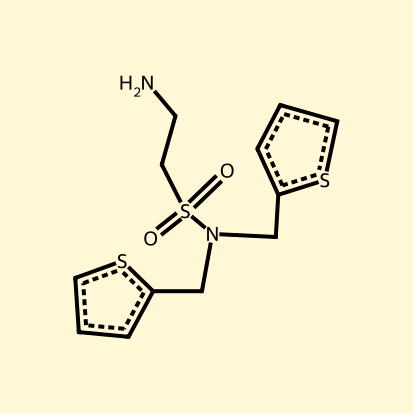 NCCS(=O)(=O)N(Cc1cccs1)Cc1cccs1